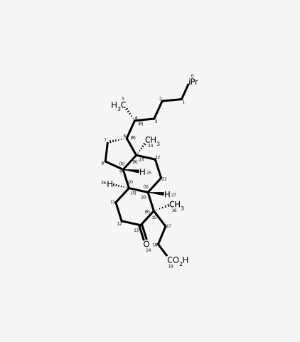 CC(C)CCC[C@@H](C)[C@H]1CC[C@H]2[C@@H]3CCC(=O)[C@](C)(CCC(=O)O)[C@H]3CC[C@]12C